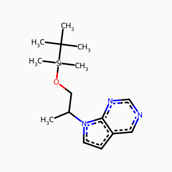 CC(CO[Si](C)(C)C(C)(C)C)n1ccc2cncnc21